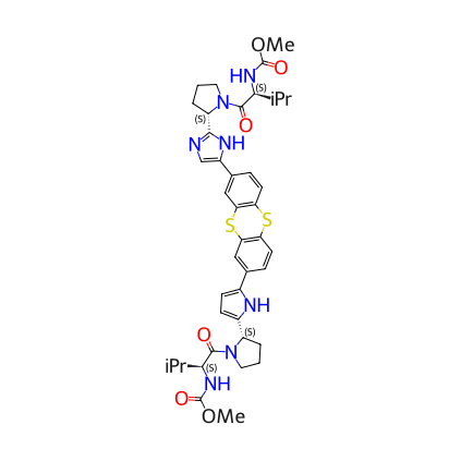 COC(=O)N[C@H](C(=O)N1CCC[C@H]1c1ccc(-c2ccc3c(c2)Sc2cc(-c4cnc([C@@H]5CCCN5C(=O)[C@@H](NC(=O)OC)C(C)C)[nH]4)ccc2S3)[nH]1)C(C)C